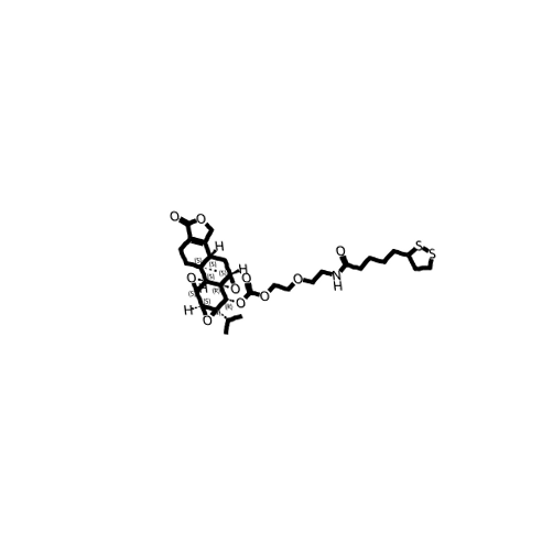 CC(C)[C@]12O[C@H]1[C@@H]1O[C@]13[C@]1(O[C@H]1C[C@H]1C4=C(CC[C@@]13C)C(=O)OC4)[C@@H]2OC(=O)OCCOCCNC(=O)CCCCC1CCSS1